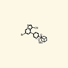 CC(C)(C)OC(=O)N1C2CC1CN(c1ccc(-c3cc(Br)cn4ncc(C#N)c34)cn1)C2